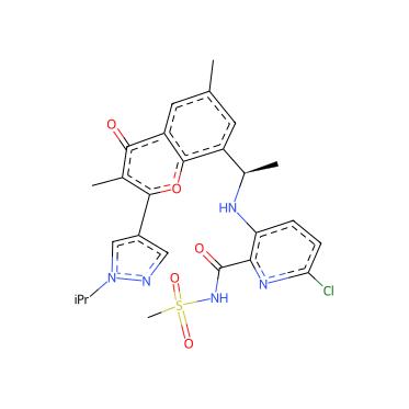 Cc1cc([C@@H](C)Nc2ccc(Cl)nc2C(=O)NS(C)(=O)=O)c2oc(-c3cnn(C(C)C)c3)c(C)c(=O)c2c1